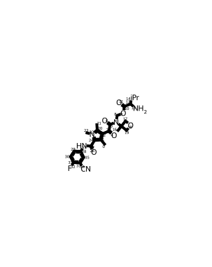 Cc1c(C(=O)C(=O)N(COC(=O)C(N)C(C)C)C2(C)COC2)c(C)n(C)c1C(=O)Nc1ccc(F)c(C#N)c1